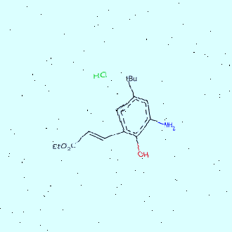 CCOC(=O)C=Cc1cc(C(C)(C)C)cc(N)c1O.Cl